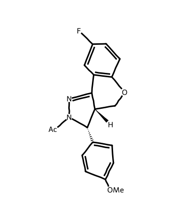 COc1ccc([C@H]2[C@H]3COc4ccc(F)cc4C3=NN2C(C)=O)cc1